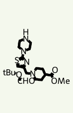 CC(C)(C)OC=O.COC(=O)C1CCN(Cc2csc(N3CCNCC3)n2)CC1